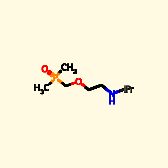 CC(C)NCCOCP(C)(C)=O